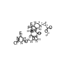 CCOC(=O)[C@@H]1C[C@@H]1c1ccc(C(F)(F)F)c(NC(=O)c2ccc(CCOc3cc(F)nc(Cl)c3)n2[C@@H](C)CC)c1